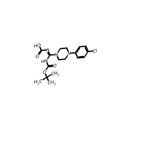 CC(C)(C)OC(=O)N/C(=N\C(=O)O)N1CCN(c2ccc(Cl)cc2)CC1